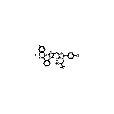 O=C(Nc1ccc(F)cc1O)c1ccccc1-n1cnc(Cn2nc(-c3ccc(Cl)cc3)n(CC(O)C(F)(F)F)c2=O)n1